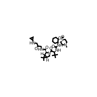 CN1CCS(=O)(=O)[C@@H](C2(NC(=O)N[C@H](C(=O)N3C[C@H]4[C@@H]([C@H]3C(=O)NCC(=O)CNC3CC3)C4(C)C)C(C)(C)C)CCCCC2)C1